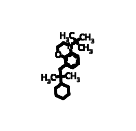 CC(C)(Cc1cccc2c1OCCN2C(C)(C)C)C1CCCCC1